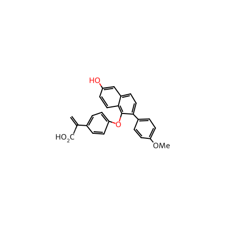 C=C(C(=O)O)c1ccc(Oc2c(-c3ccc(OC)cc3)ccc3cc(O)ccc23)cc1